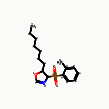 CCCCCCCC1OC=NC1S(=O)(=O)c1ccccc1C